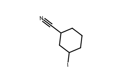 N#CC1CCCC(I)C1